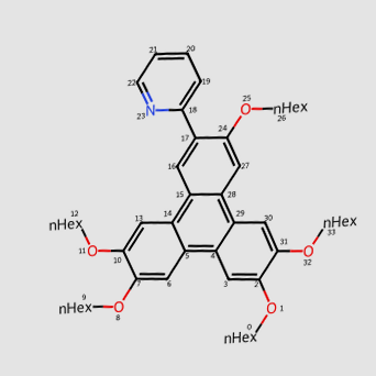 CCCCCCOc1cc2c3cc(OCCCCCC)c(OCCCCCC)cc3c3cc(-c4ccccn4)c(OCCCCCC)cc3c2cc1OCCCCCC